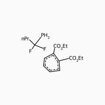 CCCC(F)(F)P.CCOC(=O)c1ccccc1C(=O)OCC